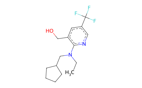 CCN(CC1CCCC1)c1ncc(C(F)(F)F)cc1CO